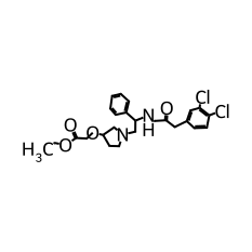 CCOC(=O)COC1CCN(CC(NCC(=O)Cc2ccc(Cl)c(Cl)c2)c2ccccc2)C1